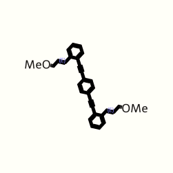 COC/C=C/c1ccccc1C#Cc1ccc(C#Cc2ccccc2/C=C/COC)cc1